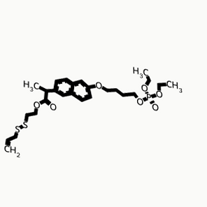 C=CCSSCCOC(=O)C(C)c1ccc2cc(OCCCCOP(=O)(OCC)OCC)ccc2c1